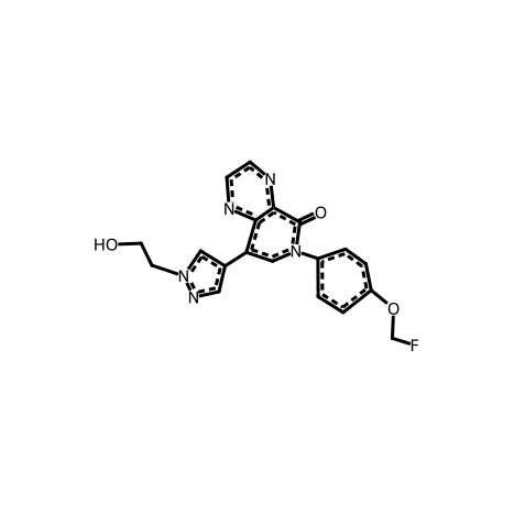 O=c1c2nccnc2c(-c2cnn(CCO)c2)cn1-c1ccc(OCF)cc1